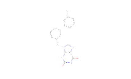 Nc1cccc(-c2cccc(Cn3cnc4c(=O)[nH]c(=O)[nH]c43)c2)c1